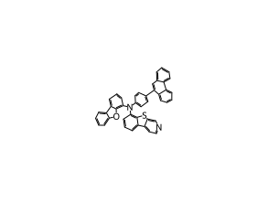 c1ccc2c(c1)cc(-c1ccc(N(c3cccc4c3oc3ccccc34)c3cccc4c3sc3cnccc34)cc1)c1ccccc12